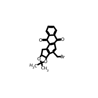 CC1(C)OC2Cc3c4c(cc(CBr)c3C2O1)C(=O)c1ccccc1C4=O